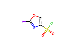 O=S(=O)(Cl)c1coc(I)n1